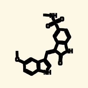 CNS(=O)(=O)c1ccc2c(c1)C(=Cc1c[nH]c3ccc(OC)cc13)C(=O)N2